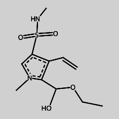 C=Cc1c(S(=O)(=O)NC)cn(C)c1C(O)OCC